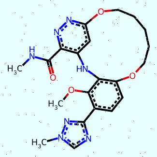 CNC(=O)c1nnc2cc1Nc1c(ccc(-c3ncn(C)n3)c1OC)OCCCCCO2